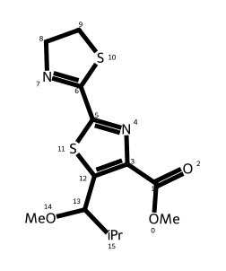 COC(=O)c1nc(C2=NCCS2)sc1C(OC)C(C)C